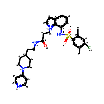 Cc1cc(S(=O)(=O)Nc2cccc3ccn(CCC(=O)NCCC4CCN(c5ccncc5)CC4)c23)c(C)cc1Cl